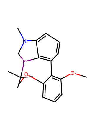 COc1cccc(OC)c1-c1cccc2c1P(C(C)(C)C)CN2C